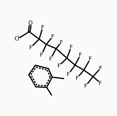 Cc1ccccc1C.O=C(Cl)C(F)(F)C(F)(F)C(F)(F)C(F)(F)C(F)(F)C(F)(F)C(F)(F)F